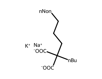 CCCCCCCCCCCCC(CCCC)(C(=O)[O-])C(=O)[O-].[K+].[Na+]